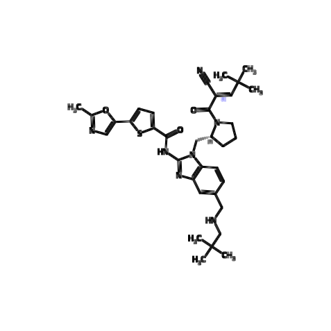 Cc1ncc(-c2ccc(C(=O)Nc3nc4cc(CNCC(C)(C)C)ccc4n3C[C@H]3CCCN3C(=O)/C(C#N)=C/C(C)(C)C)s2)o1